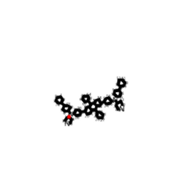 c1ccc(-c2ccc(N(c3ccncc3)c3ccc(-c4ccc5c(-c6ccccc6)c6cc(-c7ccc(N(c8ccncc8)c8ccc(-c9ccccc9)cc8)cc7)ccc6c(-c6ccccc6)c5c4)cc3)cc2)cc1